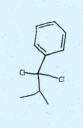 C[C](C)C(Cl)(Cl)c1ccccc1